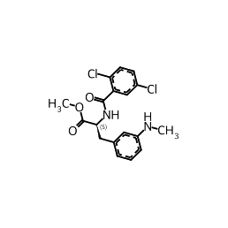 CNc1cccc(C[C@H](NC(=O)c2cc(Cl)ccc2Cl)C(=O)OC)c1